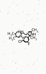 CC1=CN(CCC2N=CC(C)C(C)CN2)C(C)(C2=CC(F)=C=C(Cl)N=C2)N1